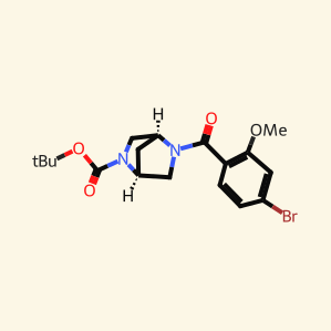 COc1cc(Br)ccc1C(=O)N1C[C@@H]2C[C@H]1CN2C(=O)OC(C)(C)C